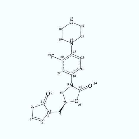 O=C1CC=CN1C[C@H]1CN(c2ccc(N3CCOCC3)c(F)c2)C(=O)O1